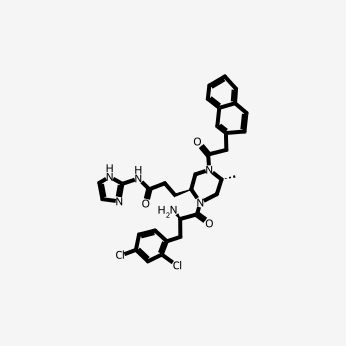 C[C@@H]1CN(C(=O)[C@H](N)Cc2ccc(Cl)cc2Cl)[C@@H](CCC(=O)Nc2ncc[nH]2)CN1C(=O)Cc1ccc2ccccc2c1